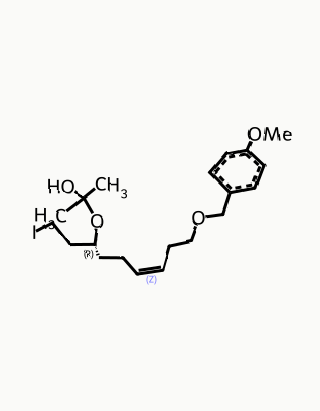 COc1ccc(COCC/C=C\CC[C@H](CCI)OC(C)(C)O)cc1